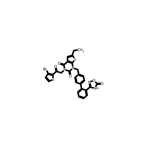 CCc1cc2c(=O)n(CC(=O)c3sccc3Br)c(=O)n(Cc3ccc(-c4ccccc4-c4noc(=O)[nH]4)cc3)c2s1